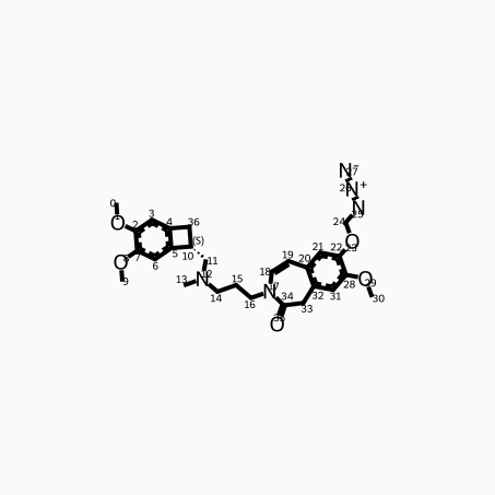 COc1cc2c(cc1OC)[C@@H](CN(C)CCCN1C=Cc3cc(OCN=[N+]=[N-])c(OC)cc3CC1=O)C2